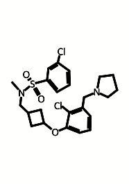 CN(CC1CC(Oc2cccc(CN3CCCC3)c2Cl)C1)S(=O)(=O)c1cccc(Cl)c1